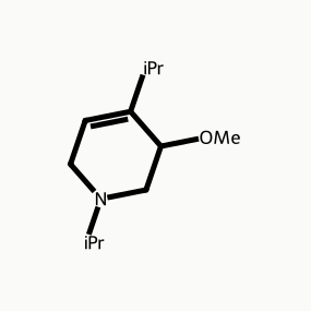 COC1CN(C(C)C)CC=C1C(C)C